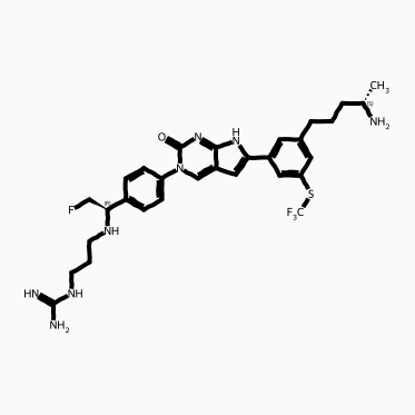 C[C@H](N)CCCc1cc(SC(F)(F)F)cc(-c2cc3cn(-c4ccc([C@H](CF)NCCCNC(=N)N)cc4)c(=O)nc3[nH]2)c1